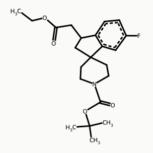 CCOC(=O)CC1CC2(CCN(C(=O)OC(C)(C)C)CC2)c2cc(F)ccc21